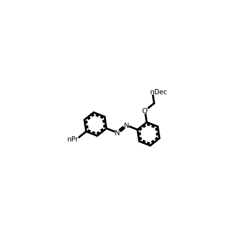 CCCCCCCCCCCOc1ccccc1N=Nc1cccc(CCC)c1